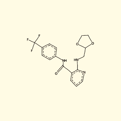 O=C(Nc1ccc(C(F)(F)F)cc1)c1cccnc1NCC1OCCO1